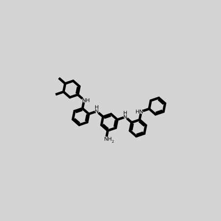 CC1CC=C(Nc2ccccc2Nc2cc(N)cc(Nc3ccccc3NC3C=CC=CC3)c2)CC1C